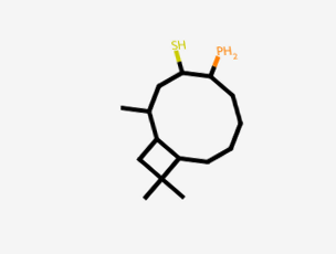 CC1CC(S)C(P)CCCCC2C1CC2(C)C